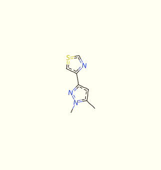 Cc1cc(-c2cscn2)nn1C